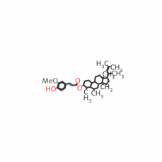 COc1cc(/C=C/C(=O)OC2CCC3C4CCC5(C)C(C(C)C=C(C)C)CCC5(C)C4CC(C)C3C2C)ccc1O